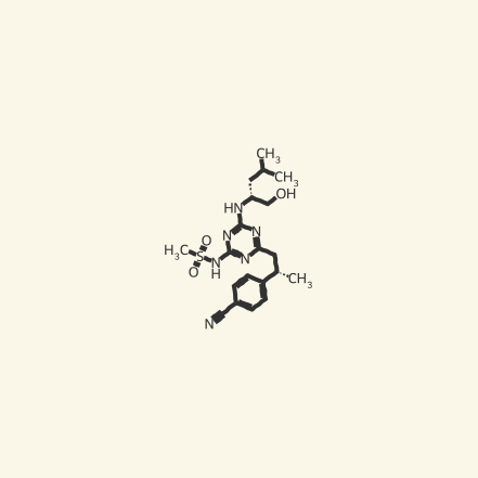 CC(C)C[C@H](CO)Nc1nc(C[C@H](C)c2ccc(C#N)cc2)nc(NS(C)(=O)=O)n1